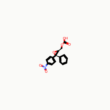 O=C(O)OC[C@@H]1O[C@@]1(c1ccccc1)c1ccc([N+](=O)[O-])cc1